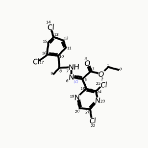 CCOC(=O)/C(=N\NC(C)c1ccc(Cl)cc1Cl)c1ncc(Cl)nc1Cl